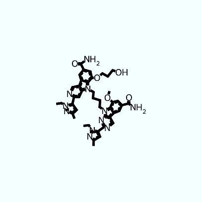 CCn1nc(C)cc1-c1cc2c(cn1)c1cc(C(N)=O)cc(OCCCO)c1n2CCCCn1c2nc(-c3cc(C)nn3CC)ncc2c2cc(C(N)=O)cc(OC)c21